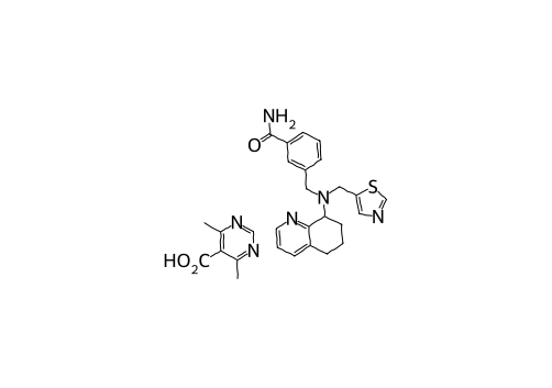 Cc1ncnc(C)c1C(=O)O.NC(=O)c1cccc(CN(Cc2cncs2)C2CCCc3cccnc32)c1